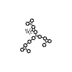 CC1(C)c2cc(N(c3ccc(-c4ccc(-c5ccc6c7ccccc7n(-c7ccccc7)c6c5)cc4)cc3)c3ccc(-c4ccc5c6ccccc6n(-c6ccccc6)c5c4)cc3)ccc2-c2ccc(-n3c4ccccc4c4ccccc43)cc21